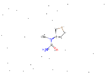 CC(C)(C)N(C(N)=O)[C@@H]1CCSC1